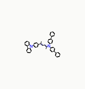 C/C(=C\C=C(/C)N(c1ccc(-c2ccccc2)cc1)c1ccc(-c2ccccc2)cc1)c1ccc(-n2c3ccccc3c3ccccc32)cc1